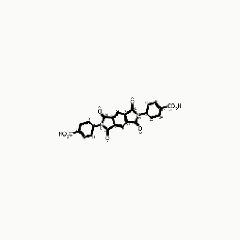 O=C(O)c1ccc(-n2c(=O)c3cc4c(=O)n(-c5ccc(C(=O)O)cc5)c(=O)c4cc3c2=O)cc1